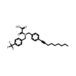 CCCCCCCC#Cc1ccc(CN(Cc2ccc(C(F)(F)F)cc2)C(=O)C(=O)O)cc1